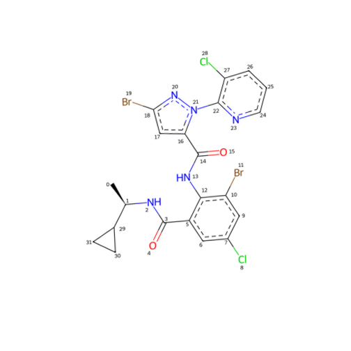 C[C@@H](NC(=O)c1cc(Cl)cc(Br)c1NC(=O)c1cc(Br)nn1-c1ncccc1Cl)C1CC1